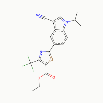 CCOC(=O)c1sc(-c2ccc3c(c2)c(C#N)cn3C(C)C)nc1C(F)(F)F